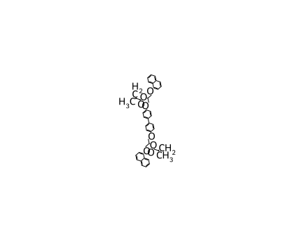 C=C(C)C(=O)OC(COc1ccc(-c2ccc(OCC(COc3cccc4ccccc34)OC(=O)C(=C)C)cc2)cc1)COc1cccc2ccccc12